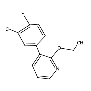 CCOc1ncccc1-c1ccc(F)c(Cl)c1